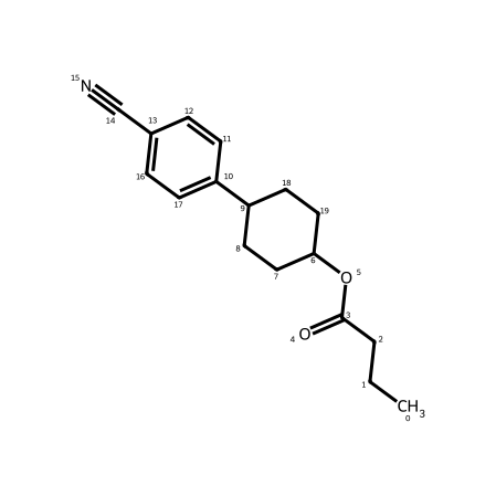 CCCC(=O)OC1CCC(c2ccc(C#N)cc2)CC1